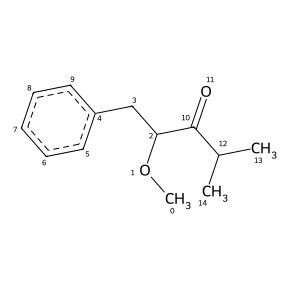 COC(Cc1ccccc1)C(=O)C(C)C